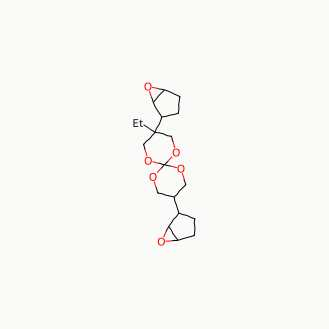 CCC1(C2CCC3OC32)COC2(OCC(C3CCC4OC43)CO2)OC1